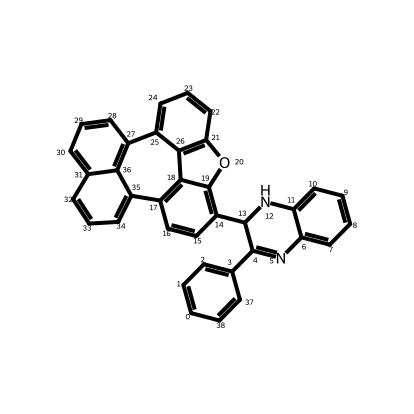 c1ccc(C2=Nc3ccccc3NC2c2ccc3c4c2oc2cccc(c24)-c2cccc4cccc-3c24)cc1